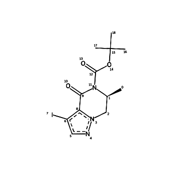 C[C@H]1Cn2ncc(I)c2C(=O)N1C(=O)OC(C)(C)C